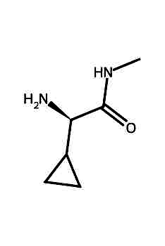 CNC(=O)[C@H](N)C1CC1